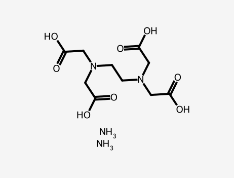 N.N.O=C(O)CN(CCN(CC(=O)O)CC(=O)O)CC(=O)O